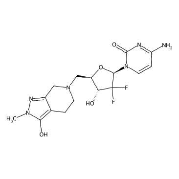 Cn1nc2c(c1O)CCN(C[C@H]1O[C@@H](n3ccc(N)nc3=O)C(F)(F)[C@@H]1O)C2